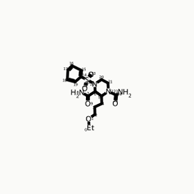 CCOCCCC1C(C(N)=O)N(S(=O)(=O)c2ccccc2)CCN1C(N)=O